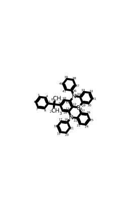 CC(C)(c1ccccc1)c1cc2c3c(c1)N(C1=CC=CCC1)c1ccccc1B3c1ccccc1N2C1=CCCC=C1